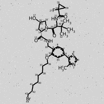 Cc1ncsc1-c1ccc(CNC(=O)[C@@H]2C[C@@H](O)CN2C(=O)C(NC(=O)C2(F)CC2)C(C)(C)C)c(OCCCCCCCCBr)c1